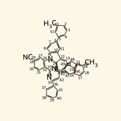 Cc1cccc(-c2ccc3c(c2)c2cc(-c4cccc(C)c4)ccc2n3-c2cc(C#N)ccc2-c2nc(-c3ccccc3)cc(-c3ccccc3)n2)c1